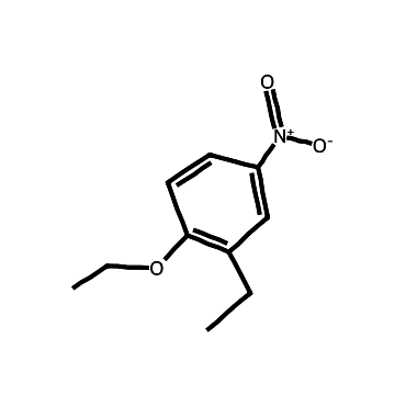 CCOc1ccc([N+](=O)[O-])cc1CC